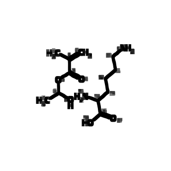 C=C(C)C(=O)OC(C)O.NCCCCC(N)C(=O)O